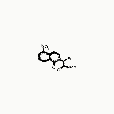 CNC(=O)C(C(C)C)n1ccc2c([N+](=O)[O-])cccc2c1=O